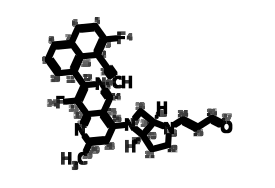 C#Cc1c(F)ccc2cccc(-c3ncc4c(N5C[C@@H]6[C@H]5CCN6C=CC=O)cc(C)nc4c3F)c12